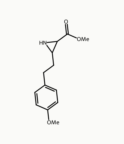 COC(=O)C1NC1CCc1ccc(OC)cc1